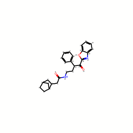 O=C(CC1CC2CCC1C2)NCCC(C(=O)c1nc2ccccc2o1)c1ccccc1